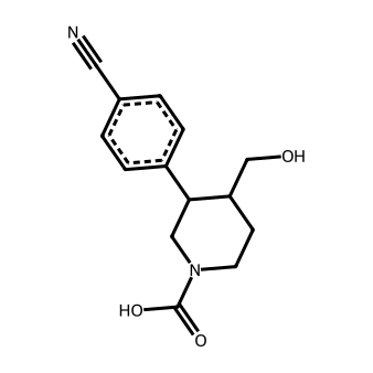 N#Cc1ccc(C2CN(C(=O)O)CCC2CO)cc1